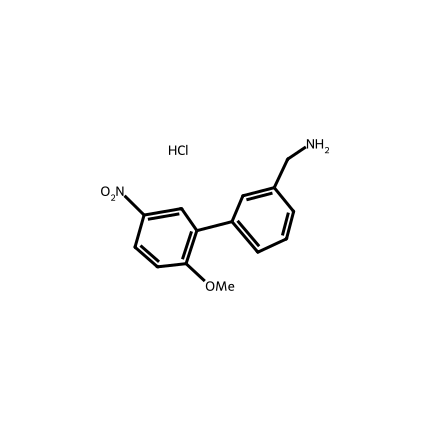 COc1ccc([N+](=O)[O-])cc1-c1cccc(CN)c1.Cl